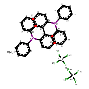 Cc1cccc(P(c2ccccc2)c2ccccc2)c1-c1c(C)cccc1P(c1ccccc1)c1ccccc1.F[B-](F)(F)F.F[B-](F)(F)F.[Ru+2]